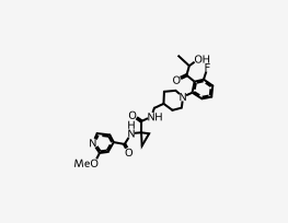 COc1cc(C(=O)NC2(C(=O)NCC3CCN(c4cccc(F)c4C(=O)C(C)O)CC3)CC2)ccn1